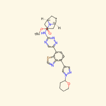 CC(C)(C)OC(=O)N1[C@@H]2CC[C@H]1CC(Nc1ncc(-c3ccc(-c4cnn(C5CCCCO5)c4)c4ncsc34)nn1)C2